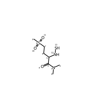 CN(C)C(=O)C(CCS(C)(=O)=O)NS